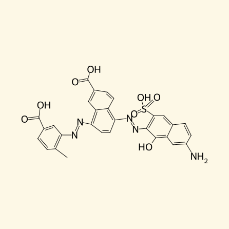 Cc1ccc(C(=O)O)cc1N=Nc1ccc(N=Nc2c(S(=O)(=O)O)cc3ccc(N)cc3c2O)c2ccc(C(=O)O)cc12